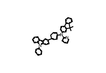 CC1(C)c2ccccc2-c2ccc(N(C3=CC=C(c4ccc5c(c4)c4ccccc4n5-c4ccccc4)CC=C3)c3ccccn3)cc21